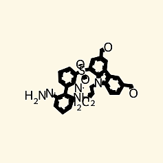 C=CCn1c2ccc(C=O)cc2c2cc(C=O)cc(S(=O)(=O)c3cccc(-c4ccccc4[N]N)c3[N]N)c21